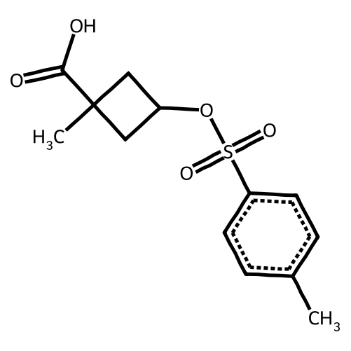 Cc1ccc(S(=O)(=O)OC2CC(C)(C(=O)O)C2)cc1